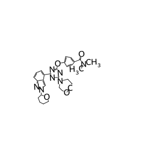 CN(C)C(=O)c1ccc(Oc2nc(-c3cccc4nn(C5CCCCO5)cc34)nc(N3CCCOCC3)n2)cc1